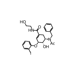 CC(=O)N(Cc1ccccc1)[C@@H]1CC(C(=O)NCCO)=C[C@H](Oc2ccccc2I)[C@H]1O